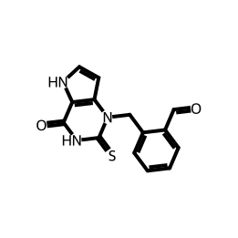 O=Cc1ccccc1Cn1c(=S)[nH]c(=O)c2[nH]ccc21